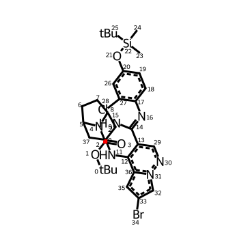 CC(C)(C)OC(=O)N1C2CCC1CC(Nc1c(/C(N)=N/c3ccc(O[Si](C)(C)C(C)(C)C)cc3Cl)cnn3cc(Br)cc13)C2